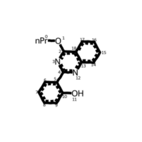 CCCOc1nc(-c2ccccc2O)nc2ccccc12